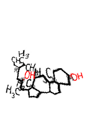 CC[C@H](C[C@@H](O)[C@@H](C)C1CCC2C3CC=C4C[C@@H](O)CC[C@]4(C)C3CC[C@@]21C)C(C)C